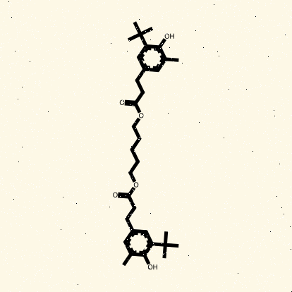 Cc1cc(CCC(=O)OCCCCCOC(=O)CCc2cc(C)c(O)c(C(C)(C)C)c2)cc(C(C)(C)C)c1O